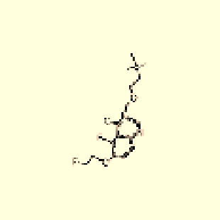 C[Si](C)(C)CCOCn1cnc2ccc(OCCF)c(F)c2c1=O